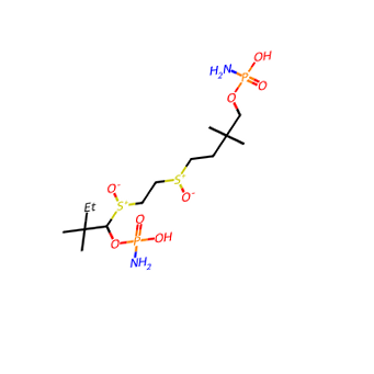 CCC(C)(C)C(OP(N)(=O)O)[S+]([O-])CC[S+]([O-])CCC(C)(C)COP(N)(=O)O